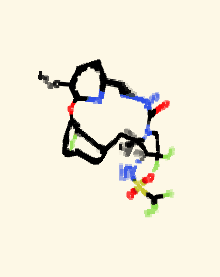 Cc1ccc2nc1Oc1cccc(c1F)C[C@H]1[C@@H](NS(=O)(=O)C(F)F)C(F)(F)CN1C(=O)NC2